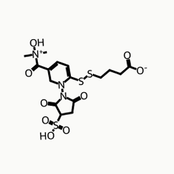 C[N+](C)(O)C(=O)C1=CC=C(SSCCCC(=O)[O-])N(N2C(=O)CC(S(=O)(=O)O)C2=O)C1